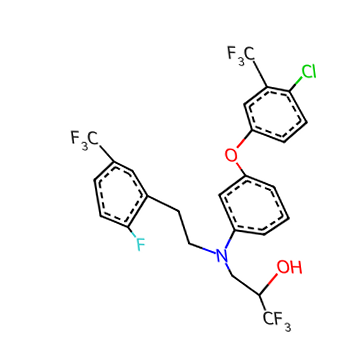 OC(CN(CCc1cc(C(F)(F)F)ccc1F)c1cccc(Oc2ccc(Cl)c(C(F)(F)F)c2)c1)C(F)(F)F